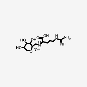 N=C(N)NCCCC(NC[C@@]1(O)OC[C@@H](O)C(O)C1O)C(=O)O